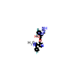 Cn1cc(-c2ccncc2COCC[C@@](O)(CN/C=N\C=N)c2ccc(F)cc2F)c(-c2ccc(F)cc2)n1